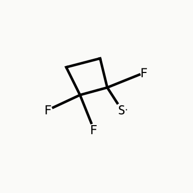 FC1(F)CCC1(F)[S]